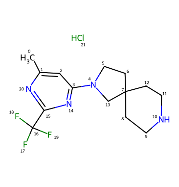 Cc1cc(N2CCC3(CCNCC3)C2)nc(C(F)(F)F)n1.Cl